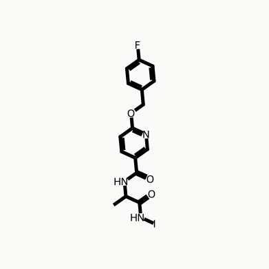 CC(NC(=O)c1ccc(OCc2ccc(F)cc2)nc1)C(=O)NI